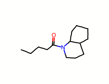 CCCCC(=O)N1CCCC2CCCCC21